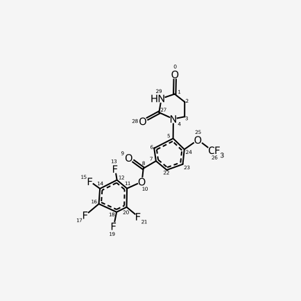 O=C1CCN(c2cc(C(=O)Oc3c(F)c(F)c(F)c(F)c3F)ccc2OC(F)(F)F)C(=O)N1